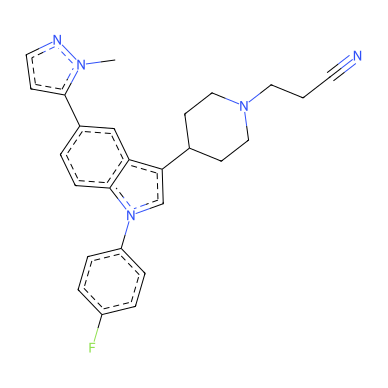 Cn1nccc1-c1ccc2c(c1)c(C1CCN(CCC#N)CC1)cn2-c1ccc(F)cc1